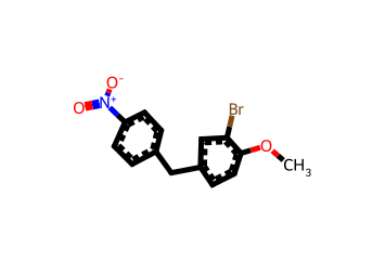 COc1ccc(Cc2ccc([N+](=O)[O-])cc2)cc1Br